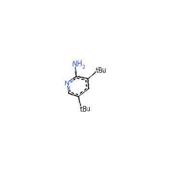 CC(C)(C)c1cnc(N)c(C(C)(C)C)c1